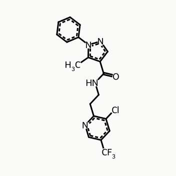 Cc1c(C(=O)NCCc2ncc(C(F)(F)F)cc2Cl)cnn1-c1ccccc1